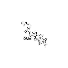 COc1cc(C(=O)N2CCC[C@@H](N)C2)cc2nc(-c3ccc(C(=O)NC4CC4)n3CC3CC3)n(C)c12